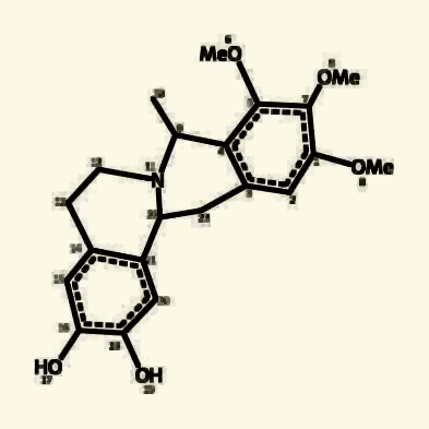 COc1cc2c(c(OC)c1OC)C(C)N1CCc3cc(O)c(O)cc3C1C2